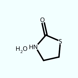 O.O=C1NCCS1